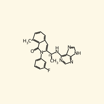 Cc1cccc2cc([C@H](C)Nc3ncnc4[nH]cnc34)n(-c3cccc(F)c3)c(=O)c12